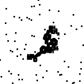 CCNC(=O)C#Cc1ccc2c(C(=Nc3ccc(CN(C)C)cc3)c3ccccc3)c(O)[nH]c2c1